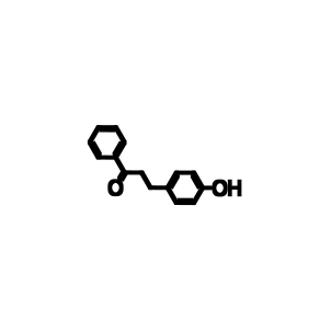 O=C(CCc1ccc(O)cc1)c1ccccc1